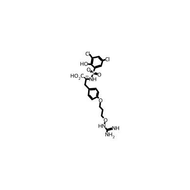 N=C(N)NOCCCOc1ccc(C[C@H](NS(=O)(=O)c2cc(Cl)cc(Cl)c2O)C(=O)O)cc1